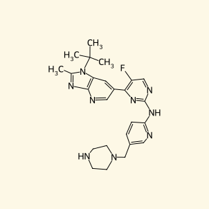 Cc1nc2ncc(-c3nc(Nc4ccc(CN5CCNCC5)cn4)ncc3F)cc2n1C(C)(C)C